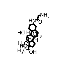 C[C@H](O)[C@@]1(O)CC[C@H]2[C@@H]3CCC4CC(NC(=O)CN)CC[C@]4(C)[C@H]3CC[C@@]21C.Cl